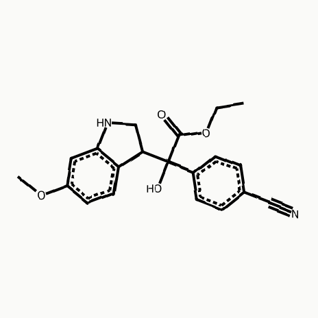 CCOC(=O)C(O)(c1ccc(C#N)cc1)C1CNc2cc(OC)ccc21